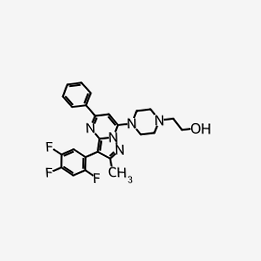 Cc1nn2c(N3CCN(CCO)CC3)cc(-c3ccccc3)nc2c1-c1cc(F)c(F)cc1F